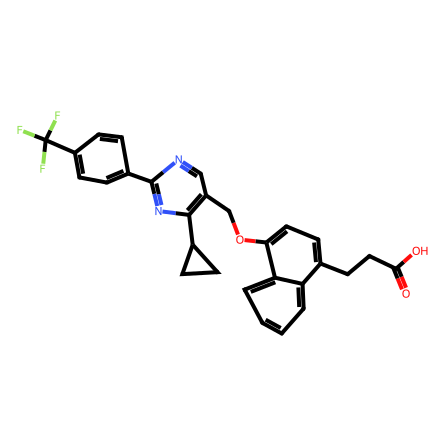 O=C(O)CCc1ccc(OCc2cnc(-c3ccc(C(F)(F)F)cc3)nc2C2CC2)c2ccccc12